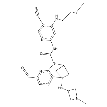 COCCNc1cc(NC(=O)N2c3nc(C=O)ccc3C3(NC4CN(C)C4)CC2C3)ncc1C#N